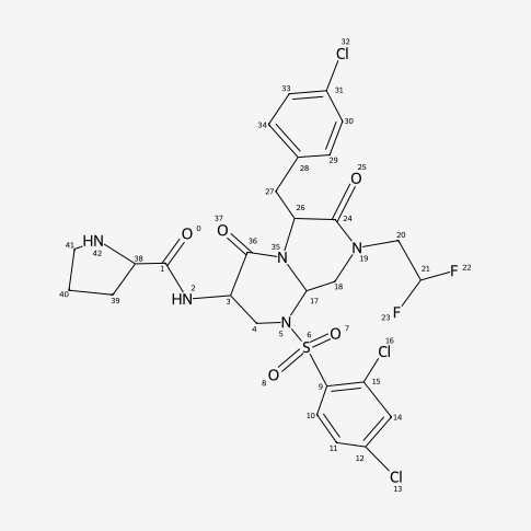 O=C(NC1CN(S(=O)(=O)c2ccc(Cl)cc2Cl)C2CN(CC(F)F)C(=O)C(Cc3ccc(Cl)cc3)N2C1=O)C1CCCN1